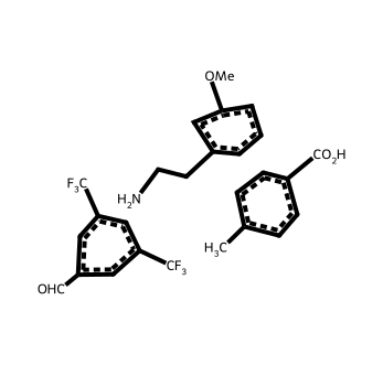 COc1cccc(CCN)c1.Cc1ccc(C(=O)O)cc1.O=Cc1cc(C(F)(F)F)cc(C(F)(F)F)c1